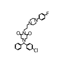 O=C1CN(C(c2ccccc2)c2ccc(Cl)cc2)CC(=O)N1CCCN1CCN(c2ccc(F)cc2)CC1